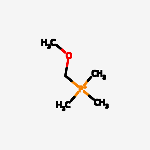 COC[P+](C)(C)C